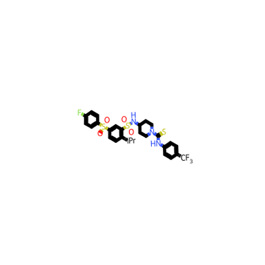 CC(C)c1ccc(S(=O)(=O)c2ccc(F)cc2)cc1S(=O)(=O)NC1CCN(C(=S)Nc2ccc(C(F)(F)F)cc2)CC1